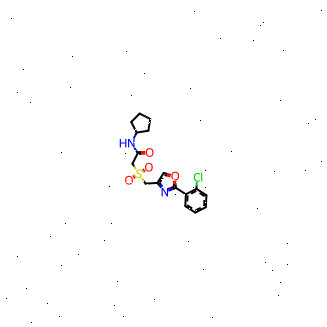 O=C(CS(=O)(=O)Cc1coc(-c2ccccc2Cl)n1)NC1CCCC1